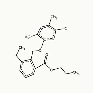 CCCOC(=O)c1cccc(CC)c1COc1cc(Cl)c(C)cc1C